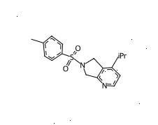 Cc1ccc(S(=O)(=O)N2Cc3nccc(C(C)C)c3C2)cc1